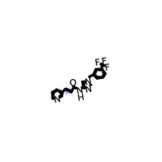 O=C(/C=C/c1cccnc1)Nc1cn(Cc2cccc(C(F)(F)F)c2)cn1